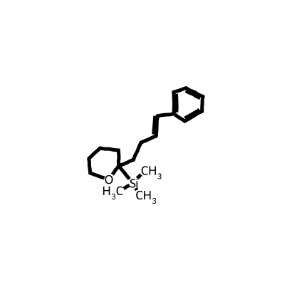 C[Si](C)(C)C1(CCC=Cc2ccccc2)CCCCO1